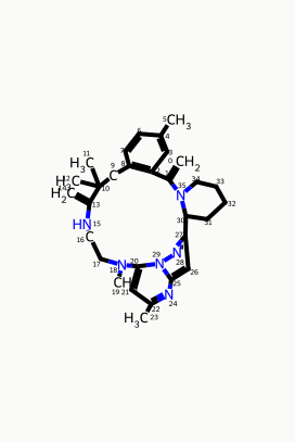 C=C1c2cc(C)ccc2CC(C)(C)C(=C)NCCN(C)c2cc(C)nc3cc(nn23)C2CCCCN12